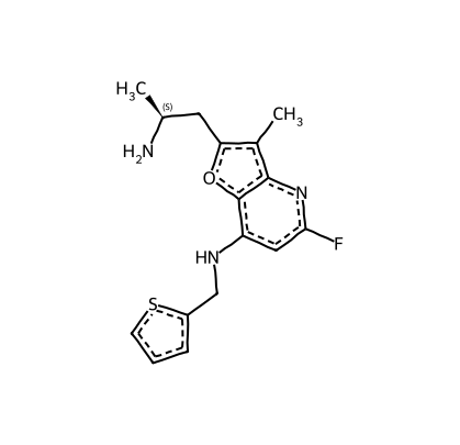 Cc1c(C[C@H](C)N)oc2c(NCc3cccs3)cc(F)nc12